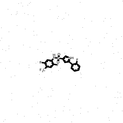 O=S(=O)(Nc1cc(F)c(C(F)(F)F)cc1F)c1c[nH]c(-c2ccccc2F)c1